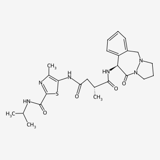 Cc1nc(C(=O)NC(C)C)sc1NC(=O)C[C@@H](C)C(=O)N[C@@H]1C(=O)N2CCCN2Cc2ccccc21